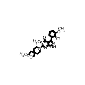 COc1cccc(-c2n[nH]c3nc(N4CCC5(CC4)CO[C@@H](C)C5)n(C)c(=O)c23)c1Cl